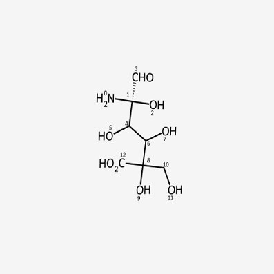 N[C@](O)(C=O)C(O)C(O)C(O)(CO)C(=O)O